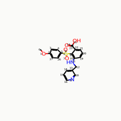 COc1ccc(S(=O)(=O)c2c(NCc3cccnc3)cccc2C(=O)O)cc1